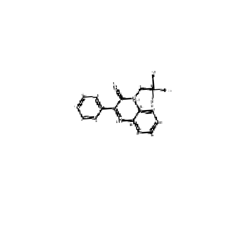 O=c1c(-c2ccccc2)nc2ccccc2n1CC(F)(F)F